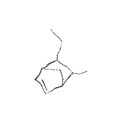 CCC1[C](C)C2C=CC1C2